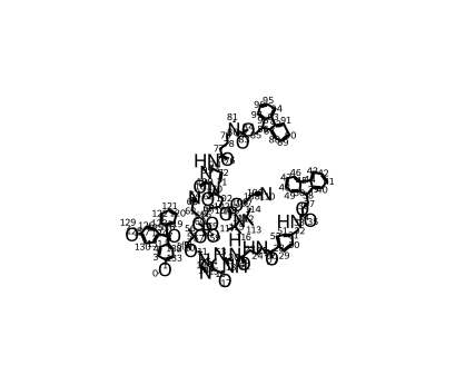 COc1ccc(C(OC[C@@H](OCn2cnc3c(=O)[nH]c(NC(=O)CCNC(=O)c4ccc(CNC(=O)OCC5c6ccccc6-c6ccccc65)cc4)nc32)C(C)OP(=O)(OCCC#N)OC[C@H]2OC(n3ccc(NC(=O)CCCN(C)C(=O)OCC4c5ccccc5-c5ccccc54)nc3=O)CC2OP(OCCC#N)N(C(C)C)C(C)C)(c2ccccc2)c2ccc(OC)cc2)cc1